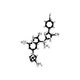 CCc1nn2c(C)cc(N3CC4C5C3C45N)cc2c1N(C)c1nc(-c2ccc(F)cc2)c(C#N)s1